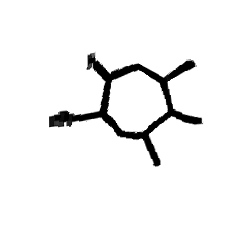 CCCC1CC(C)C(C)[C@H](C)CC1F